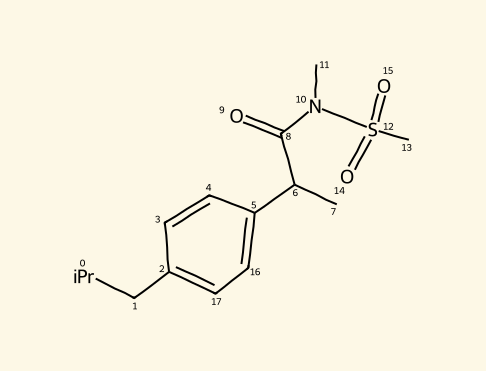 CC(C)Cc1ccc(C(C)C(=O)N(C)S(C)(=O)=O)cc1